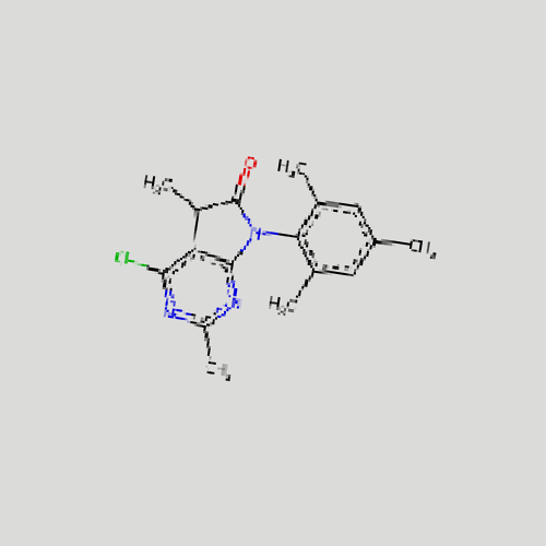 Cc1cc(C)c(N2C(=O)C(C)c3c(Cl)nc(C)nc32)c(C)c1